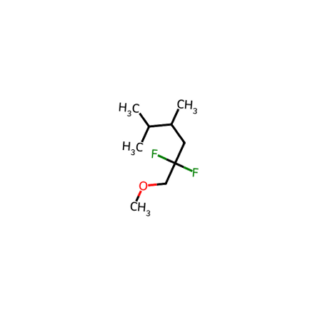 COCC(F)(F)CC(C)C(C)C